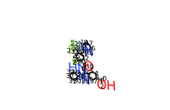 C[C@@H](O)c1ccc2c(NC(=O)c3cc(-c4ncccn4)c(C(F)(F)F)cc3F)n(-c3ccccc3)nc2c1